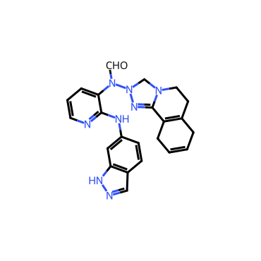 O=CN(c1cccnc1Nc1ccc2cn[nH]c2c1)N1CN2CCC3=C(CC=CC3)C2=N1